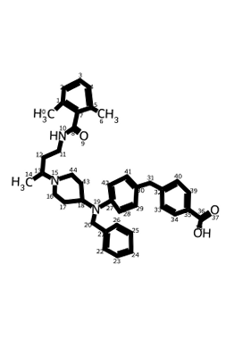 Cc1cccc(C)c1C(=O)NCCC(C)N1CCC(N(Cc2ccccc2)c2ccc(Cc3ccc(C(=O)O)cc3)cc2)CC1